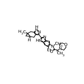 CCc1cc2[nH]c(-c3n[nH]c4c3C[C@@H]3C[C@]3(C)C4)nc2cc1N(C)C(=O)[C@H](C)N1CCOCC1